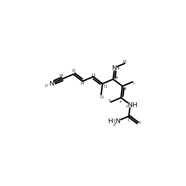 C=C(N)N/C(C)=C(C)/C(=N\C)C(/C)=C/C=C/C#N